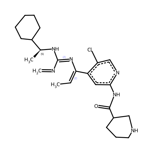 C=N/C(=N\C(=C/C)c1cc(NC(=O)C2CCCNC2)ncc1Cl)N[C@@H](C)C1CCCCC1